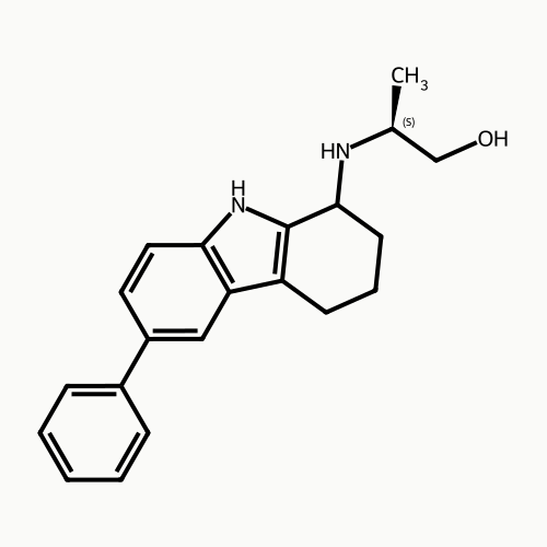 C[C@@H](CO)NC1CCCc2c1[nH]c1ccc(-c3ccccc3)cc21